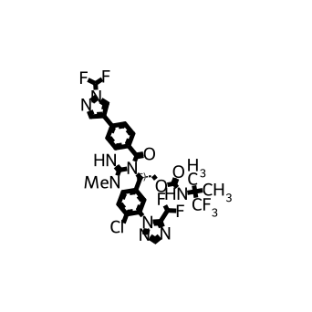 CNC(=N)N(C(=O)c1ccc(-c2cnn(C(F)F)c2)cc1)[C@H](COC(=O)NC(C)(C)C(F)(F)F)c1ccc(Cl)c(-n2ncnc2C(F)F)c1